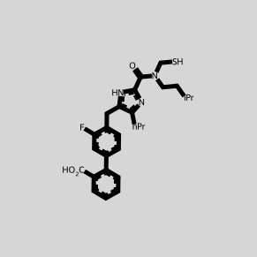 CCCc1nc(C(=O)N(CS)CCC(C)C)[nH]c1Cc1ccc(-c2ccccc2C(=O)O)cc1F